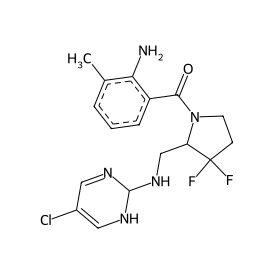 Cc1cccc(C(=O)N2CCC(F)(F)C2CNC2N=CC(Cl)=CN2)c1N